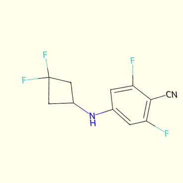 N#Cc1c(F)cc(NC2CC(F)(F)C2)cc1F